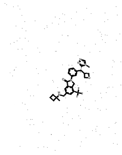 Cn1cnnc1[C@@H](c1cccc(N2Cc3c(cc(CNC4(C)CCC4)cc3C(F)(F)F)C2=O)c1)C1COC1